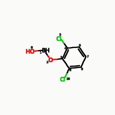 OBOc1c(Cl)cccc1Cl